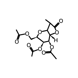 CC(=O)OC[C@H]1OC2C(C)C(=O)O[C@@H]2[C@@H](OC(C)=O)[C@H]1OC(C)=O